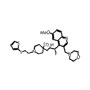 COc1ccc2ncc(CN3CCOCC3)c([C@@H](F)CCC3(C(=O)O)CCN(CCSc4cccs4)CC3)c2c1